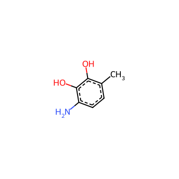 Cc1ccc(N)c(O)c1O